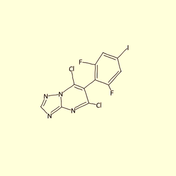 Fc1cc(I)cc(F)c1-c1c(Cl)nc2ncnn2c1Cl